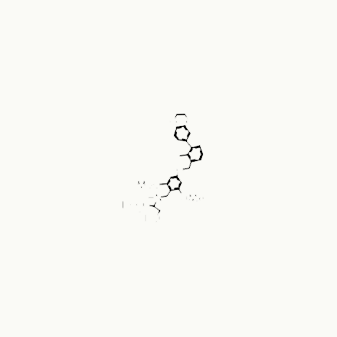 COc1cc(OCc2cccc(-c3ccc4c(c3)OCCO4)c2C)cc(OC)c1CNC(CO)C(=O)O